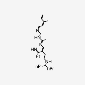 C=C/C(C)=C\C=N/CN/C(C)=N/C=C(/CCNC(CCC)CCC)C(=N)CC